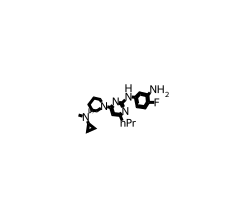 CCCc1cc(N2CCC[C@@H](N(C)C3CC3)C2)nc(Nc2ccc(F)c(N)c2)n1